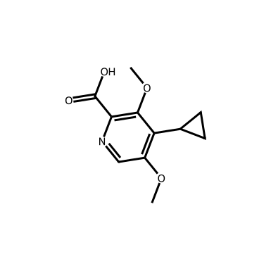 COc1cnc(C(=O)O)c(OC)c1C1CC1